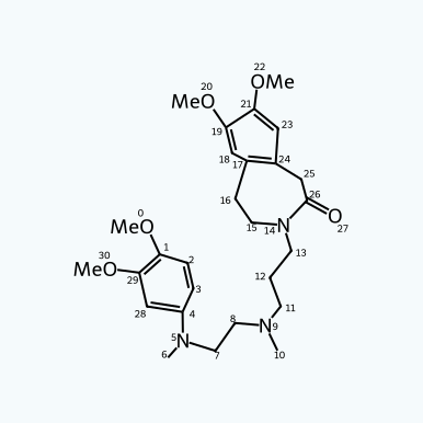 COc1ccc(N(C)CCN(C)CCCN2CCc3cc(OC)c(OC)cc3CC2=O)cc1OC